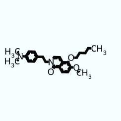 CCCCCOc1c(OC)ccc2c(=O)n(CCc3ccc(N(C)C)cc3)ccc12